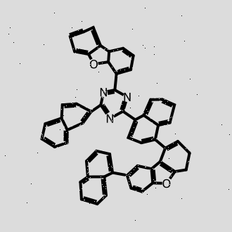 C1=CC2c3ccccc3OC2C(c2nc(-c3ccc4ccccc4c3)nc(-c3ccc(C4=CCCc5oc6ccc(-c7cccc8ccccc78)cc6c54)c4ccccc34)n2)=C1